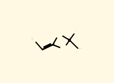 FC=C1OC(F)(F)O1